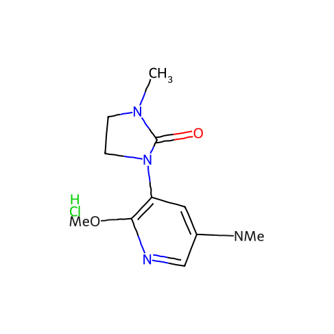 CNc1cnc(OC)c(N2CCN(C)C2=O)c1.Cl